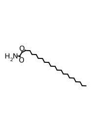 CCCCCCCCCCCCCCCCCCCC1OC1C(N)=O